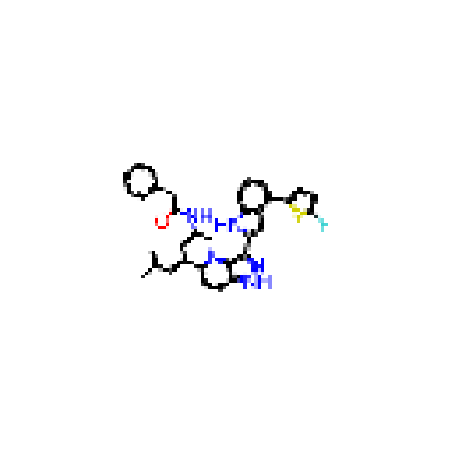 C=C(C)/C=C(\C=C(/C)NC(=O)Cc1ccccc1)c1ccc2[nH]nc(-c3cc4c(-c5ccc(F)s5)cccc4[nH]3)c2n1